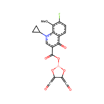 COc1c(F)ccc2c(=O)c(C(=O)OB3OC(=C=O)C(=C=O)O3)cn(C3CC3)c12